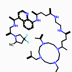 C=CCN1CCN(CC(=C)C)CCN(C(=C)C)CCN(C(C)CCC(=C)NCCNC(=C)CCC(=C)Nc2cccc3c(C(=C)NCC(=C)N4CC(F)(F)CC4C#N)ccnc23)CC1